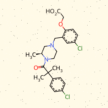 C[C@H]1CN(Cc2cc(Cl)ccc2OCC(=O)O)CCN1C(=O)C(C)(C)c1ccc(Cl)cc1